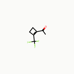 CC(=O)C1=C(C(F)(F)F)CC1